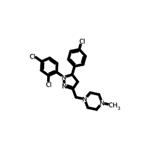 CN1CCN(CC2=NN(c3ccc(Cl)cc3Cl)C(c3ccc(Cl)cc3)C2)CC1